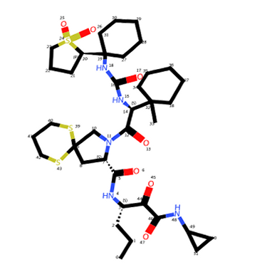 CCC[C@H](NC(=O)[C@@H]1CC2(CN1C(=O)[C@@H](NC(=O)NC1([C@H]3CCCS3(=O)=O)CCCCC1)C1(C)CCCCC1)SCCCS2)C(=O)C(=O)NC1CC1